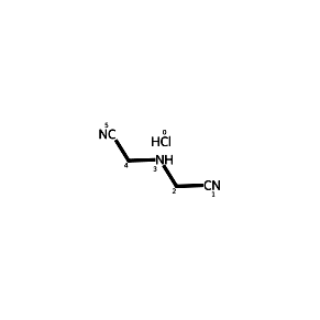 Cl.N#CCNCC#N